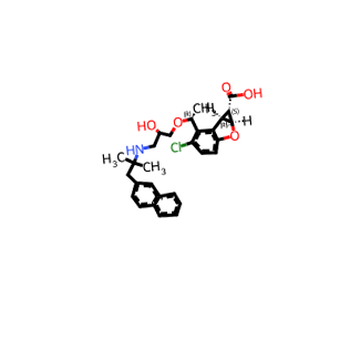 C[C@@H](OCC(O)CNC(C)(C)Cc1ccc2ccccc2c1)c1c(Cl)ccc2c1[C@@H]1[C@H](O2)[C@H]1C(=O)O